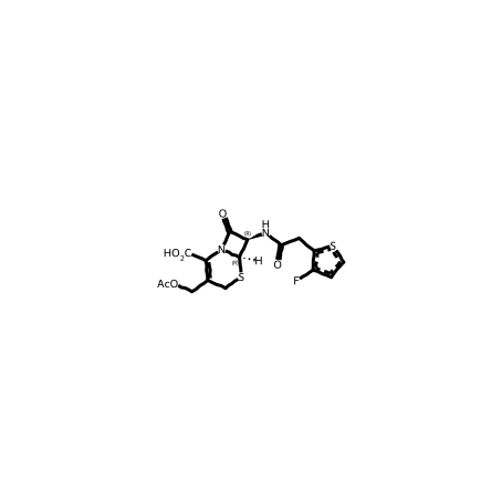 CC(=O)OCC1=C(C(=O)O)N2C(=O)[C@@H](NC(=O)Cc3sccc3F)[C@H]2SC1